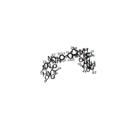 COC(=O)NC(C(=O)N1C2C(C)C2C[C@H]1c1ncc(-c2ccc(-c3ccc4c(ccc5nc([C@@H]6[C@H]7CC[C@H](C7)N6C(=O)[C@@H](NC(=O)OC)C(C)C)[nH]c54)c3)cc2)[nH]1)C(C)C